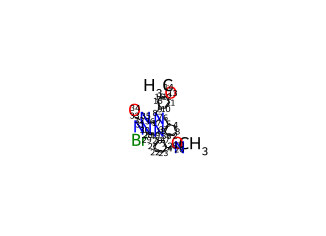 COc1ccc(CN(Cc2ccc(OC)cc2)c2nc(-c3cccc(C#N)c3)c(Br)n3nc(C=O)nc23)cc1